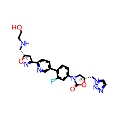 O=C1O[C@@H](Cn2ccnn2)CN1c1ccc(-c2ccc(C3=NO[C@H](CNCCO)C3)nc2)c(F)c1